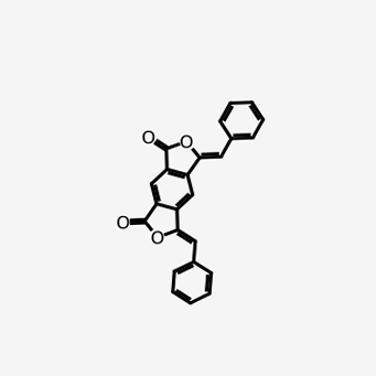 O=C1OC(=Cc2ccccc2)c2cc3c(cc21)C(=O)OC3=Cc1ccccc1